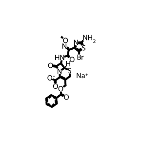 CON=C(C(=O)NC1C(=O)N2C(C(=O)[O-])=C(COC(=O)c3ccccc3)CS[C@@H]12)c1nc(N)sc1Br.[Na+]